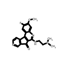 COc1cc2nc(NCCN(C)C)c3c(c2cc1F)-c1ccncc1C3=O